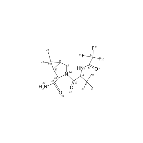 CC(C)(C)C(NC(=O)C(F)(F)F)C(=O)N1CC2C(C1C(N)=O)C2(C)C